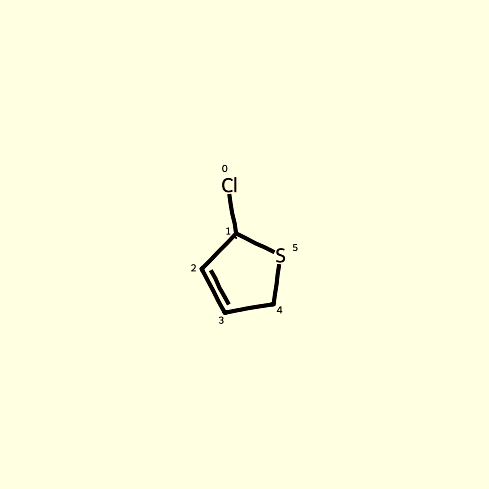 Cl[C]1C=CCS1